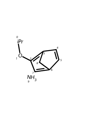 CC(C)OC1=C2C=CC(=C1)C2.N